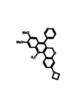 COc1cc2c(-c3ccccc3)c3c([n+](C)c2cc1OC)-c1ccc(N2CCC2)cc1OC3